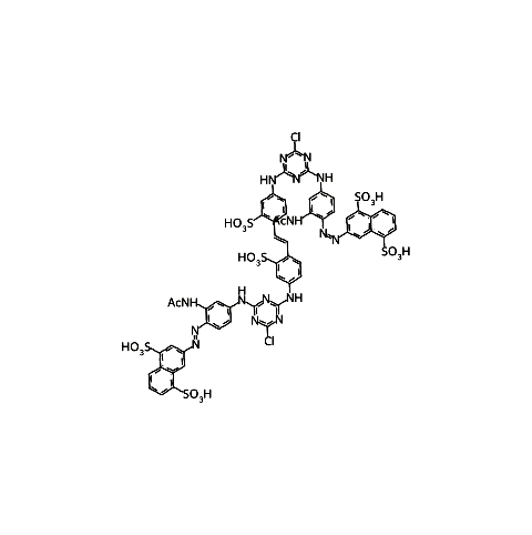 CC(=O)Nc1cc(Nc2nc(Cl)nc(Nc3ccc(C=Cc4ccc(Nc5nc(Cl)nc(Nc6ccc(N=Nc7cc(S(=O)(=O)O)c8cccc(S(=O)(=O)O)c8c7)c(NC(C)=O)c6)n5)cc4S(=O)(=O)O)c(S(=O)(=O)O)c3)n2)ccc1N=Nc1cc(S(=O)(=O)O)c2cccc(S(=O)(=O)O)c2c1